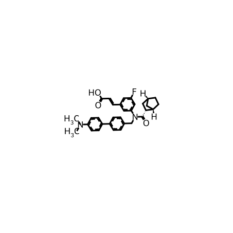 CN(C)c1ccc(-c2ccc(CN(C(=O)[C@@H]3C[C@@H]4CC[C@H]3C4)c3cc(F)cc(/C=C/C(=O)O)c3)cc2)cc1